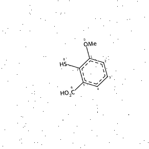 COc1cccc(C(=O)O)c1S